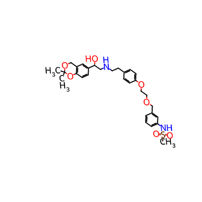 CC1(C)OCc2cc([C@@H](O)CNCCc3ccc(OCCOCc4cccc(NS(C)(=O)=O)c4)cc3)ccc2O1